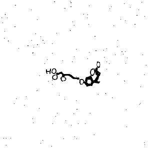 Cc1cc(=O)oc2cc(OCCCC(=O)CC(=O)O)ccc12